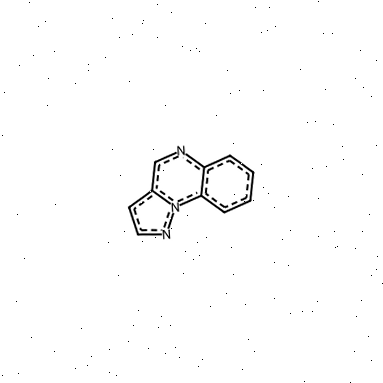 c1ccc2c(c1)ncc1ccnn12